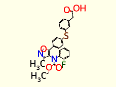 CCOC(=O)N(c1ccccc1F)c1c(C)noc1-c1ccc(Sc2cccc(CC(=O)O)c2)cc1